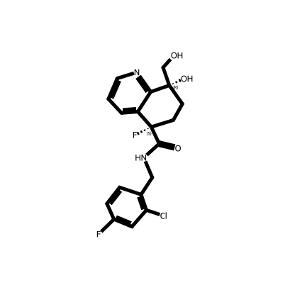 O=C(NCc1ccc(F)cc1Cl)[C@]1(F)CC[C@](O)(CO)c2ncccc21